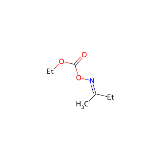 CCOC(=O)ON=C(C)CC